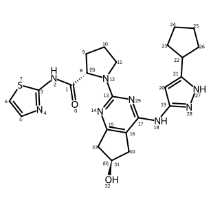 O=C(Nc1nccs1)[C@@H]1CCCN1c1nc2c(c(Nc3cc(C4CCCC4)[nH]n3)n1)C[C@@H](O)C2